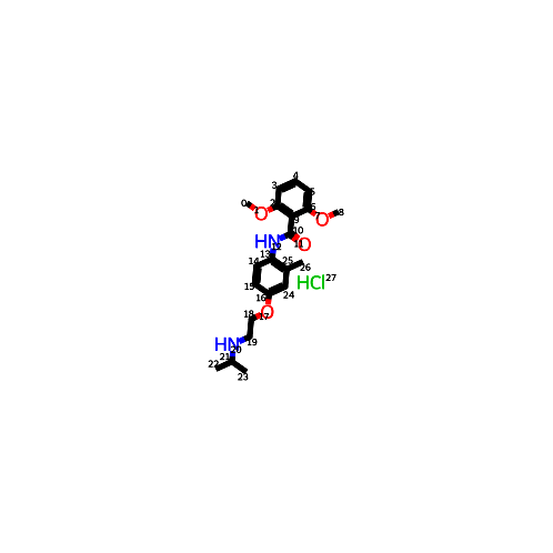 COc1cccc(OC)c1C(=O)Nc1ccc(OCCNC(C)C)cc1C.Cl